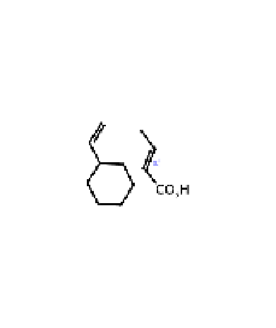 C/C=C/C(=O)O.C=CC1CCCCC1